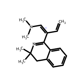 C=C/C(=C/N(C)C)C1=NC(C)(C)Cc2ccccc21